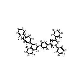 N#Cc1ccccc1-c1ccc(-c2cc(-c3ccc(-c4nc(-c5ccccc5)nc(-c5ccccc5)n4)cc3)cc3c2C=CCC3)cc1